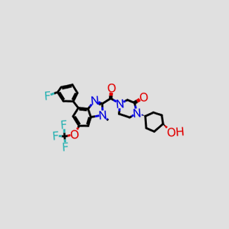 Cn1c(C(=O)N2CCN([C@H]3CC[C@H](O)CC3)C(=O)C2)nc2c(-c3cccc(F)c3)cc(OC(F)(F)F)cc21